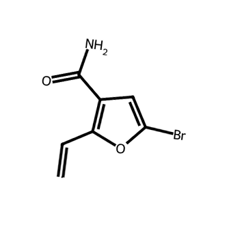 [CH]=Cc1oc(Br)cc1C(N)=O